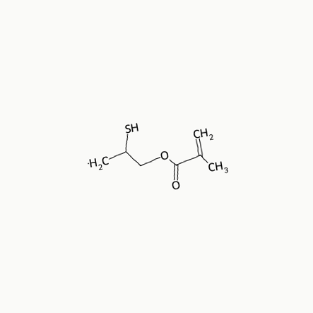 [CH2]C(S)COC(=O)C(=C)C